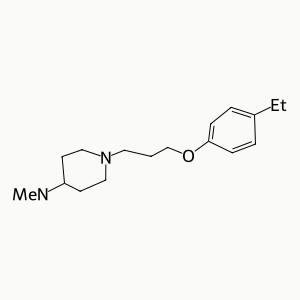 CCc1ccc(OCCCN2CCC(NC)CC2)cc1